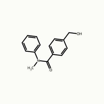 CN(C(=O)c1ccc(CO)cc1)c1ccccc1